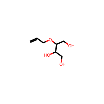 C=CCOC(CO)C(O)CO